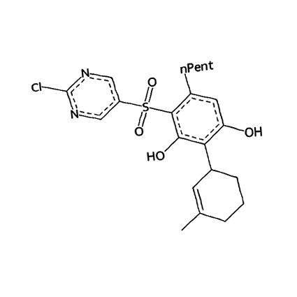 CCCCCc1cc(O)c(C2C=C(C)CCC2)c(O)c1S(=O)(=O)c1cnc(Cl)nc1